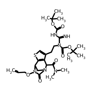 C=CCON1C(=O)N2CC1c1scc(CCN(C(=N)NC(=O)OC(C)(C)C)C(=O)OC(C)(C)C)c1C2C(=O)N(C)C